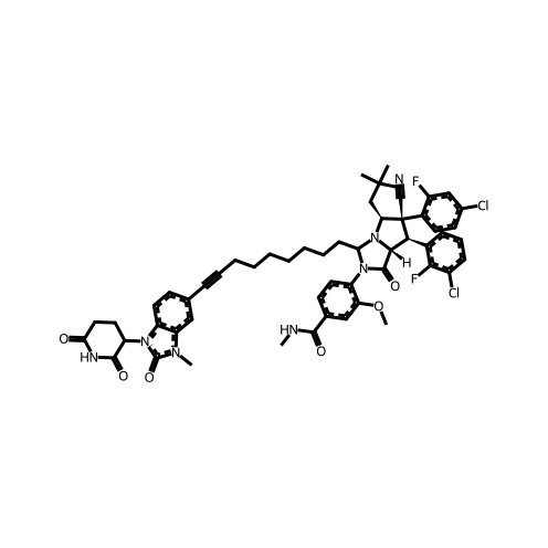 CNC(=O)c1ccc(N2C(=O)[C@H]3[C@H](c4cccc(Cl)c4F)[C@@](C#N)(c4ccc(Cl)cc4F)[C@H](CC(C)(C)C)N3C2CCCCCCCC#Cc2ccc3c(c2)n(C)c(=O)n3C2CCC(=O)NC2=O)c(OC)c1